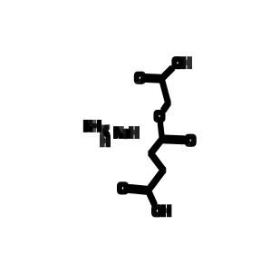 O=C(O)CCC(=O)OCC(=O)O.[KH].[KH].[NaH]